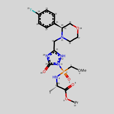 COCP(=O)(N[C@@H](C)C(=O)OC(C)C)n1[nH]c(CN2CCOC[C@@H]2c2ccc(F)cc2)nc1=O